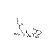 [N-]=[N+]=CC(=O)CC[C@H](NC(=O)[C@@H](O)Cc1c[nH]c2cccc(Cl)c12)C(=O)O